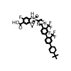 COc1cc(C(=O)O)c(F)cc1NS(=O)(=O)c1csc(-c2ccc(-c3ccc(C4=CCC(C(C)(C)C)CC4)cc3C(F)(F)F)cc2C(F)(F)F)n1